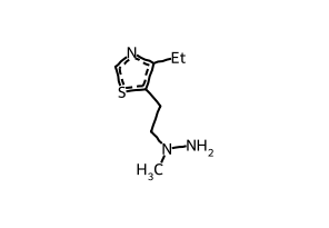 CCc1ncsc1CCN(C)N